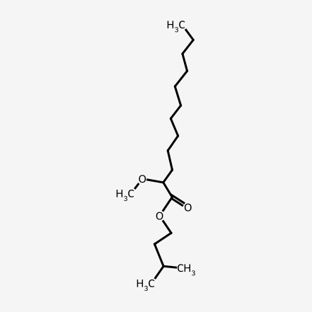 CCCCCCCCCCC(OC)C(=O)OCCC(C)C